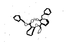 O=C(OCc1ccccc1)c1ccccc1OC(=O)c1cccc(Cc2ccccc2)c1O